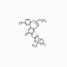 CC[C@@H]1Cc2ccc(Cl)cc2-c2cc(=O)n(CC(=O)OC(C)(C)C)cc2CO1